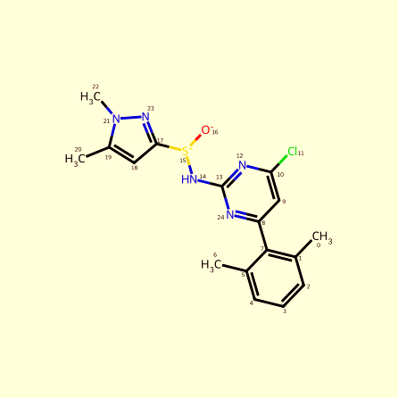 Cc1cccc(C)c1-c1cc(Cl)nc(N[S+]([O-])c2cc(C)n(C)n2)n1